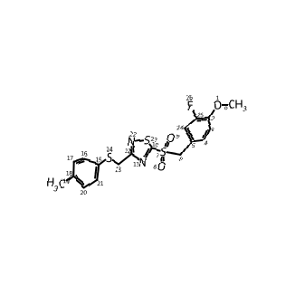 COc1ccc(CS(=O)(=O)c2nc(CSc3ccc(C)cc3)ns2)cc1F